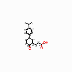 CC(C)c1ccc(C2CCC(=O)C(CCC(=O)O)C2)cc1